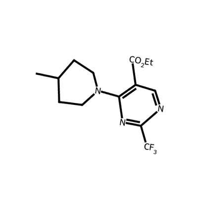 CCOC(=O)c1cnc(C(F)(F)F)nc1N1CCC(C)CC1